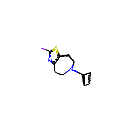 Ic1nc2c(s1)CCN(C1=CC=C1)CC2